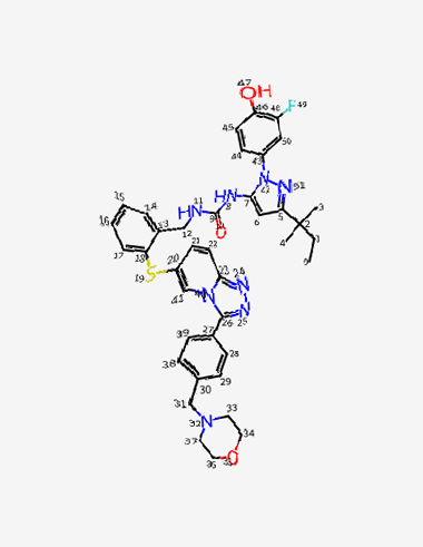 CCC(C)(C)c1cc(NC(=O)NCc2ccccc2Sc2ccc3nnc(-c4ccc(CN5CCOCC5)cc4)n3c2)n(-c2ccc(O)c(F)c2)n1